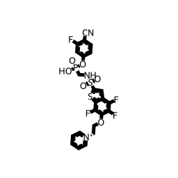 N#Cc1ccc(OP(=O)(O)CNS(=O)(=O)c2cc3c(F)c(F)c(OCC[n+]4ccccc4)c(F)c3s2)cc1F